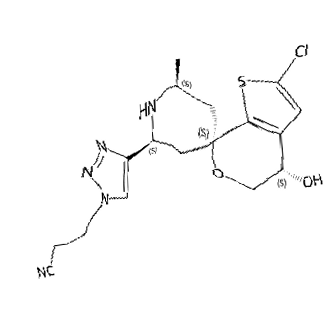 C[C@H]1C[C@@]2(C[C@@H](c3cn(CCC#N)nn3)N1)OC[C@@H](O)c1cc(Cl)sc12